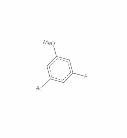 COc1cc(F)cc(C(C)=O)c1